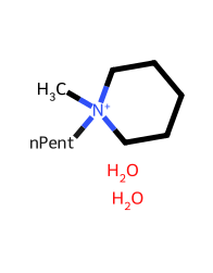 CCCCC[N+]1(C)CCCCC1.O.O